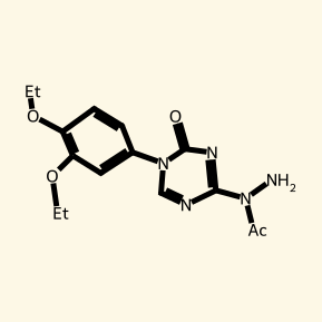 CCOc1ccc(-n2cnc(N(N)C(C)=O)nc2=O)cc1OCC